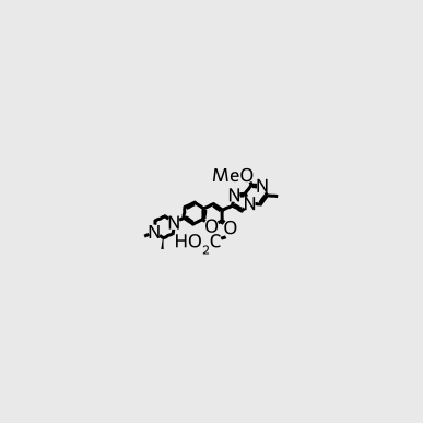 CC(=O)O.COc1nc(C)cn2cc(-c3cc4ccc(N5CCN(C)[C@H](C)C5)cc4oc3=O)nc12